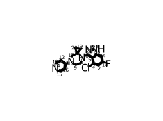 Fc1cc(Cl)c2c(N3CCN(c4ccncc4)CC34CC4)n[nH]c2c1